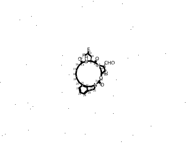 O=C[C@@H]1C[C@@H]2CN1C(=O)[C@H](CC(F)F)NC(=O)CCCCCc1cccc3c1CN(C3)C(=O)O2